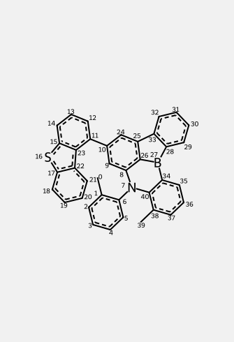 Cc1ccccc1N1c2cc(-c3cccc4sc5ccccc5c34)cc3c2B(c2ccccc2-3)c2cccc(C)c21